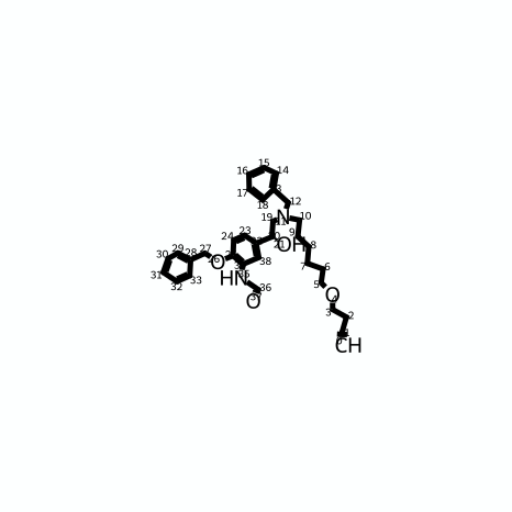 C#CCCOCCCCCCN(Cc1ccccc1)C[C@H](O)c1ccc(OCc2ccccc2)c(NC=O)c1